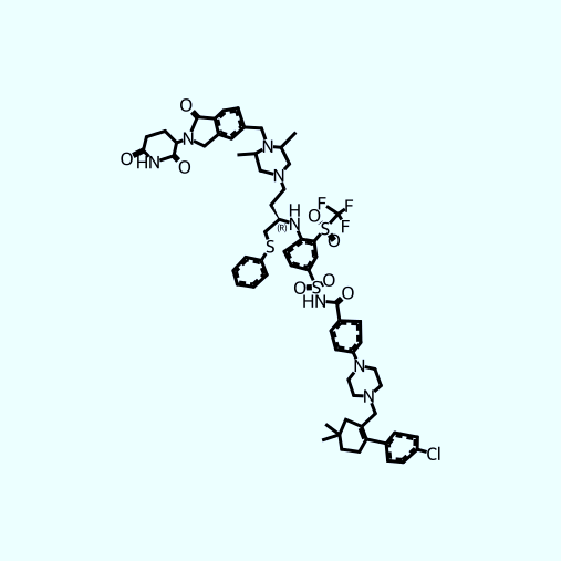 CC1CN(CC[C@H](CSc2ccccc2)Nc2ccc(S(=O)(=O)NC(=O)c3ccc(N4CCN(CC5=C(c6ccc(Cl)cc6)CCC(C)(C)C5)CC4)cc3)cc2S(=O)(=O)C(F)(F)F)CC(C)N1Cc1ccc2c(c1)CN(C1CCC(=O)NC1=O)C2=O